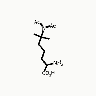 CC(=O)N(C(C)=O)C(C)(C)CCCC(N)C(=O)O